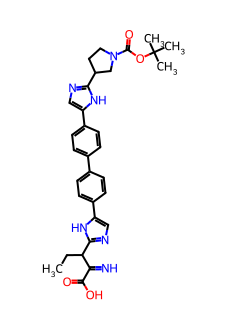 CCC(C(=N)C(=O)O)c1ncc(-c2ccc(-c3ccc(-c4cnc(C5CCN(C(=O)OC(C)(C)C)C5)[nH]4)cc3)cc2)[nH]1